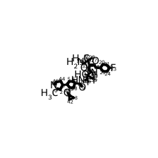 Cc1cc(-c2ccc(C(=O)NC[C@](O)(c3cc4c(c(-c5ccc(F)cc5)n3)OC[C@]4(C)C(N)=O)C(F)(F)F)cc2OC2CC2)ccn1